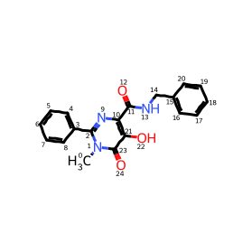 Cn1c(-c2ccccc2)nc(C(=O)NCc2ccccc2)c(O)c1=O